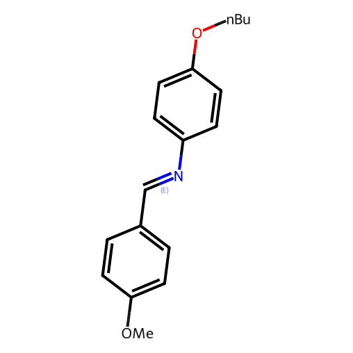 CCCCOc1ccc(/N=C/c2ccc(OC)cc2)cc1